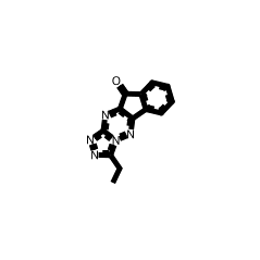 CCc1nnc2nc3c(nn12)-c1ccccc1C3=O